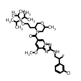 COc1cc(C(=O)N2CC(C)OCC2CCO[Si](C(C)C)(C(C)C)C(C)C)cn2nc(NCC(F)c3cccc(Cl)c3)nc12